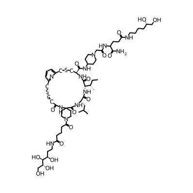 CC[C@H](C)[C@@H]1NC(=O)[C@H](CC(C)C)NC(=O)C2(CCN(C(=O)CCCC(=O)NCC[C@@H](O)[C@H](O)[C@H](O)CO)CC2)NC(=O)CCSCc2cccc(n2)CSC[C@@H](C(=O)NC2CCN(CC(=O)NC(CCC(=O)NCCCC[C@H](O)CO)C(N)=O)CC2)NC1=O